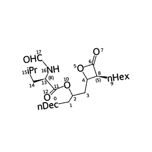 CCCCCCCCCCCC(CC1OC(=O)[C@H]1CCCCCC)OC(=O)[C@@H](CC(C)C)NC=O